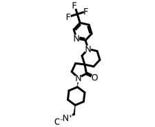 [C-]#[N+]C[C@H]1CC[C@H](N2CCC3(CCCN(c4ccc(C(F)(F)F)cn4)C3)C2=O)CC1